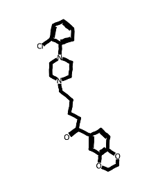 O=C(CCCCN1CCN(c2ccccc2Cl)CC1)c1ccc2c(c1)OCCO2